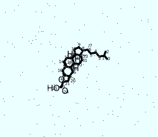 CC(C)CCC[C@@H](C)C1CC[C@H]2[C@@H]3CC=C4CC(=O)[C@](C)(CCC(=O)O)C[C@]4(C)[C@H]3CC[C@]12C